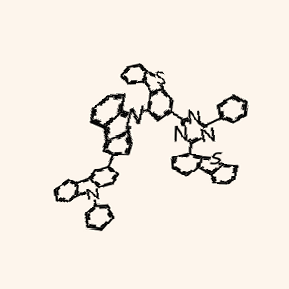 c1ccc(-c2nc(-c3cc(-n4c5ccccc5c5cc(-c6ccc7c(c6)c6ccccc6n7-c6ccccc6)ccc54)c4c(c3)sc3ccccc34)nc(-c3cccc4c3sc3ccccc34)n2)cc1